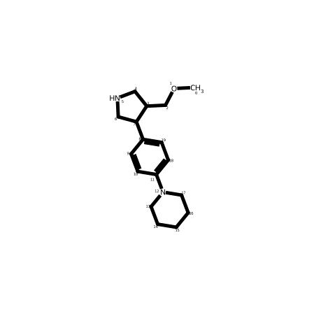 COCC1CNCC1c1ccc(N2CCCCC2)cc1